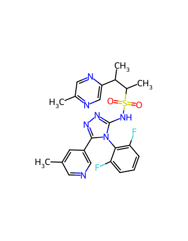 Cc1cncc(-c2nnc(NS(=O)(=O)C(C)C(C)c3cnc(C)cn3)n2-c2c(F)cccc2F)c1